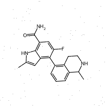 Cc1cc2c(-c3cccc4c3CCNC4C)c(F)cc(C(N)=O)c2[nH]1